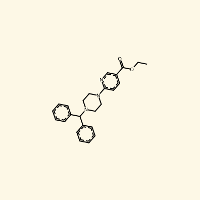 CCOC(=O)c1ccc(N2CCN(C(c3ccccc3)c3ccccc3)CC2)nc1